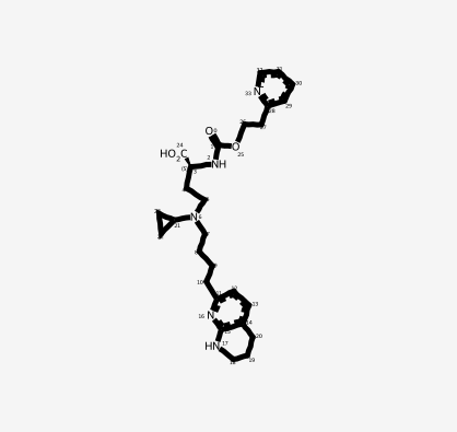 O=C(N[C@@H](CCN(CCCCc1ccc2c(n1)NCCC2)C1CC1)C(=O)O)OCCc1ccccn1